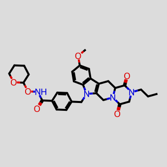 CCCN1CC(=O)N2Cc3c(c4cc(OC)ccc4n3Cc3ccc(C(=O)NOC4CCCCO4)cc3)CC2C1=O